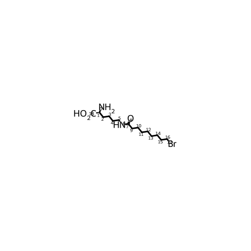 N[C@@H](CCCCNC(=O)CCCCCCCCBr)C(=O)O